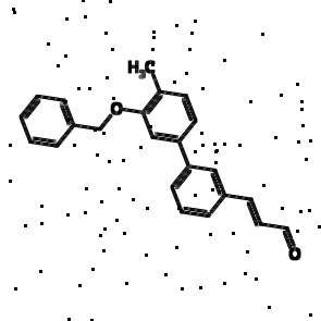 Cc1ccc(-c2cccc(/C=C/C=O)c2)cc1OCc1ccccc1